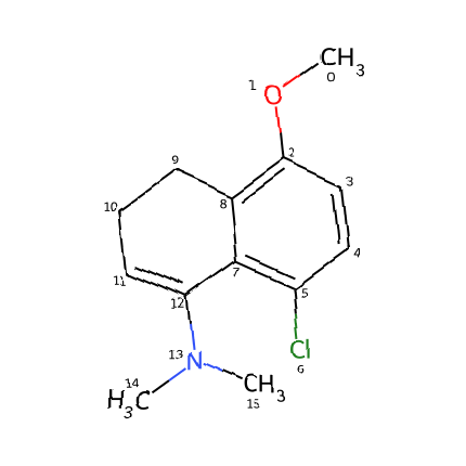 COc1ccc(Cl)c2c1CCC=C2N(C)C